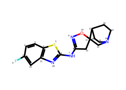 Fc1ccc2sc(NC3=NOC4(C3)CN3CCC4CC3)nc2c1